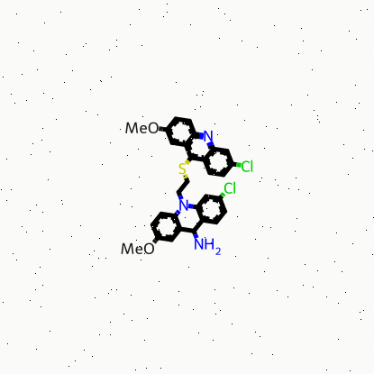 COc1ccc2c(c1)C(N)c1ccc(Cl)cc1N2CCSc1c2ccc(Cl)cc2nc2ccc(OC)cc12